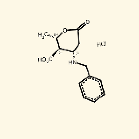 C[C@@H]1OC(=O)C[C@H](NCc2ccccc2)[C@H]1C(=O)O.Cl